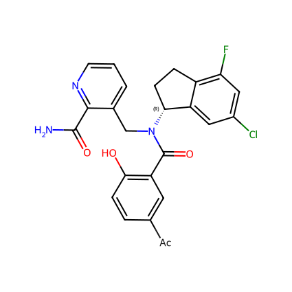 CC(=O)c1ccc(O)c(C(=O)N(Cc2cccnc2C(N)=O)[C@@H]2CCc3c(F)cc(Cl)cc32)c1